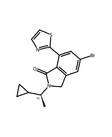 C[C@@H](C1CC1)N1Cc2cc(Br)cc(-c3nccs3)c2C1=O